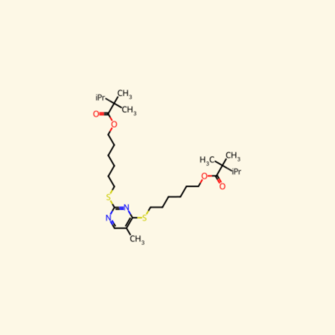 Cc1cnc(SCCCCCCOC(=O)C(C)(C)C(C)C)nc1SCCCCCCOC(=O)C(C)(C)C(C)C